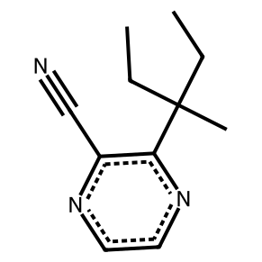 CCC(C)(CC)c1nccnc1C#N